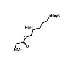 CCCCCCCCCCCCOC(=O)CNC.[NaH]